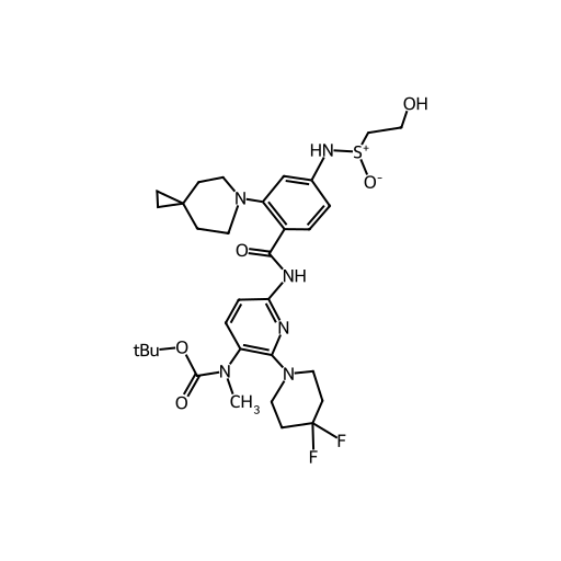 CN(C(=O)OC(C)(C)C)c1ccc(NC(=O)c2ccc(N[S+]([O-])CCO)cc2N2CCC3(CC2)CC3)nc1N1CCC(F)(F)CC1